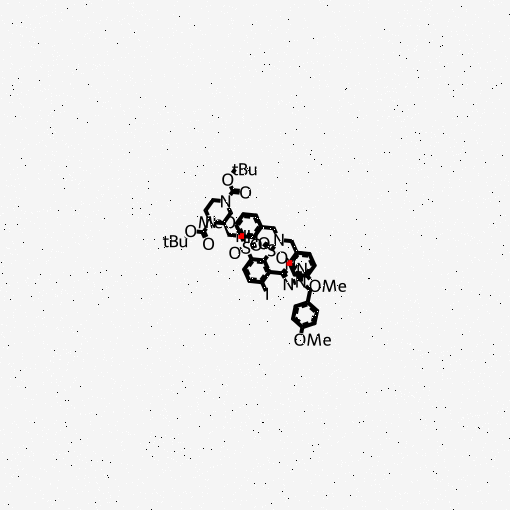 COc1ccc(CN(Cc2ccc(OC)cc2)S(=O)(=O)c2c(S(=O)(=O)NC[C@@H]3CN(C(=O)OC(C)(C)C)CCN3C(=O)OC(C)(C)C)ccc(I)c2-c2nnn(Cc3ccc(OC)cc3)n2)cc1